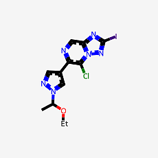 CCOC(C)n1cc(-c2ncc3nc(I)nn3c2Cl)cn1